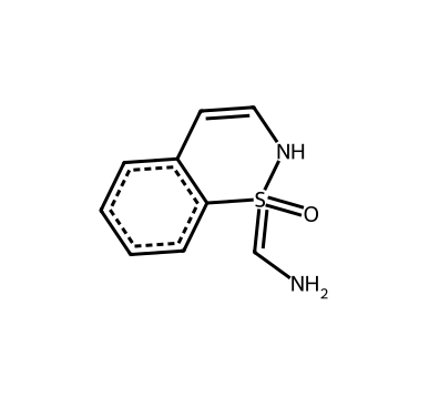 NC=S1(=O)NC=Cc2ccccc21